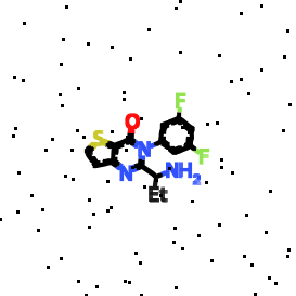 CCC(N)c1nc2ccsc2c(=O)n1-c1cc(F)cc(F)c1